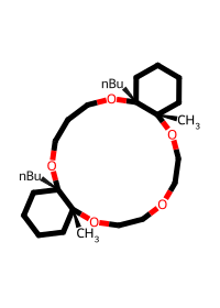 CCCC[C@]12CCCC[C@@]1(C)OCCOCCO[C@@]1(C)CCCC[C@@]1(CCCC)OCCCO2